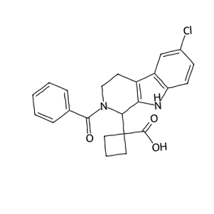 O=C(c1ccccc1)N1CCc2c([nH]c3ccc(Cl)cc23)C1C1(C(=O)O)CCC1